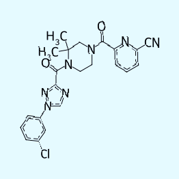 CC1(C)CN(C(=O)c2cccc(C#N)n2)CCN1C(=O)c1ncn(-c2cccc(Cl)c2)n1